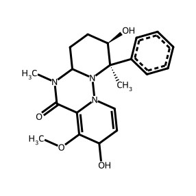 COC1=C2C(=O)N(C)C3CC[C@@H](O)[C@@](C)(c4ccccc4)N3N2C=CC1O